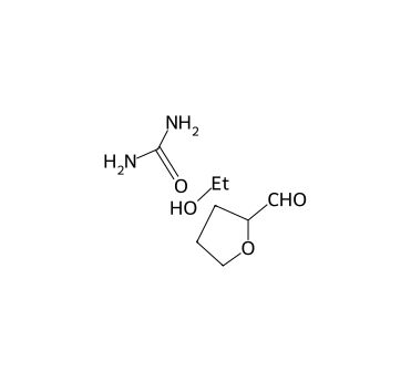 CCO.NC(N)=O.O=CC1CCCO1